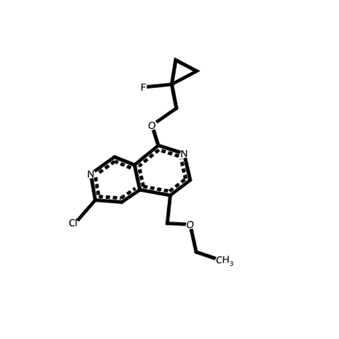 CCOCc1cnc(OCC2(F)CC2)c2cnc(Cl)cc12